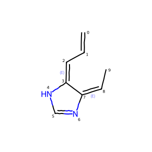 C=C/C=c1/[nH]cn/c1=C/C